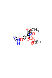 C[C@@H](O)[C@H]1C(=O)N2C(C(=O)OCOC(=O)C(C)(C)C)=C(c3ccc(OC(=O)Nc4ccncc4)cc3)C[C@H]12